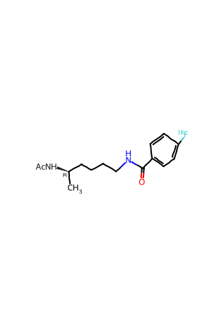 CC(=O)N[C@H](C)CCCCNC(=O)c1ccc([18F])cc1